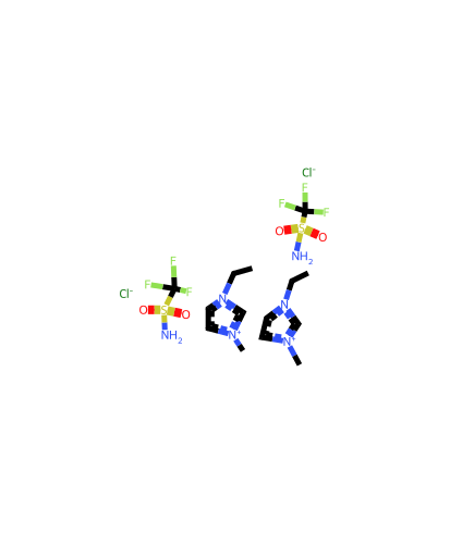 CCn1cc[n+](C)c1.CCn1cc[n+](C)c1.NS(=O)(=O)C(F)(F)F.NS(=O)(=O)C(F)(F)F.[Cl-].[Cl-]